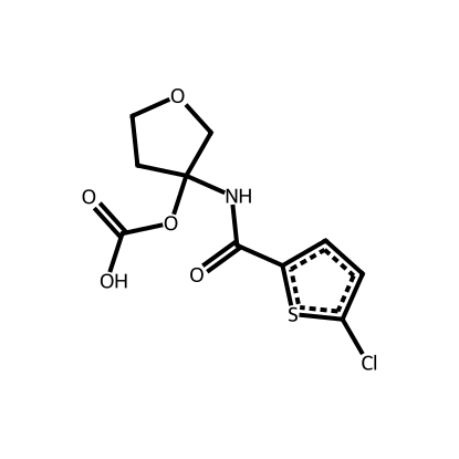 O=C(O)OC1(NC(=O)c2ccc(Cl)s2)CCOC1